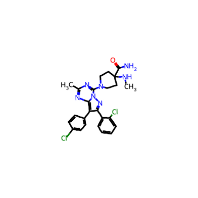 CNC1(C(N)=O)CCN(c2nc(C)nc3c(-c4ccc(Cl)cc4)c(-c4ccccc4Cl)nn23)CC1